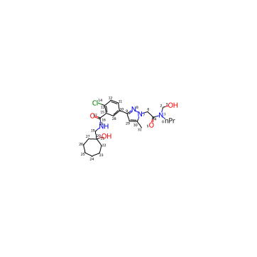 CCCN(CO)C(=O)Cn1nc(-c2ccc(Cl)c(C(=O)NCC3(O)CCCCCC3)c2)cc1C